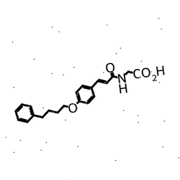 O=C(O)CNC(=O)/C=C/c1ccc(OCCCCc2ccccc2)cc1